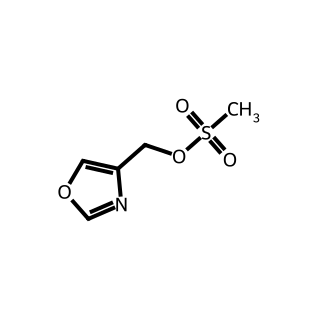 CS(=O)(=O)OCc1cocn1